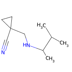 CC(C)C(C)NCC1(C#N)CC1